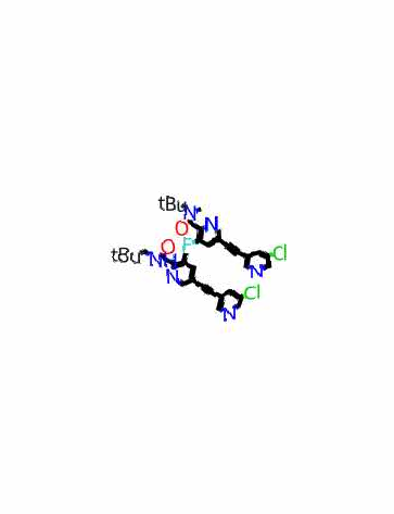 CN(C(=O)c1ncc(C#Cc2cncc(Cl)c2)cc1F)C(C)(C)C.Cc1cc(C#Cc2cncc(Cl)c2)cnc1C(=O)NCC(C)(C)C